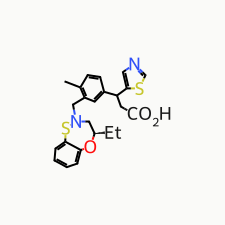 CC[C@@H]1CN(Cc2cc(C(CC(=O)O)c3cncs3)ccc2C)Sc2ccccc2O1